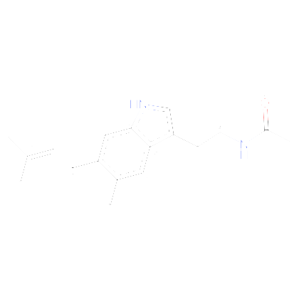 CC(=O)NCCc1c[nH]c2cc(CC=C(C)C)c(C)cc12